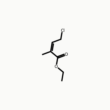 CCOC(=O)/C(C)=C\CCl